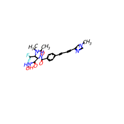 CCN(C(C)=O)C(C(F)F)C(NC(=O)c1ccc(C#CC#Cc2cn(C)cn2)cc1)C(=O)NO